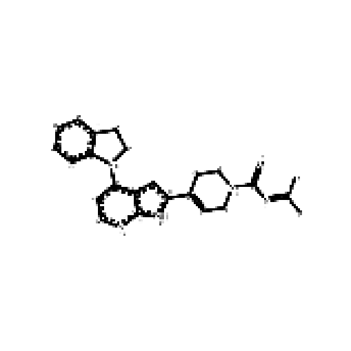 CC(C)=NC(=O)N1CC=C(c2cc3c(N4CCc5ccccc54)ccnc3[nH]2)CC1